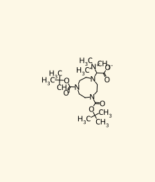 CC(C)(C)OC(=O)N1CCN(C(=O)OC(C)(C)C)CCN(C(C(=O)[O-])[N+](C)(C)C)CC1